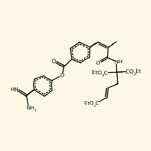 CCOC(=O)C=CCC(NC(=O)C(C)=Cc1ccc(C(=O)Oc2ccc(C(=N)N)cc2)cc1)(C(=O)OCC)C(=O)OCC